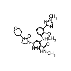 CNC(=O)c1nnc(N2CCN(C3CCOCC3)C2=O)cc1Nc1cccc(-c2ncn(C)n2)c1OC